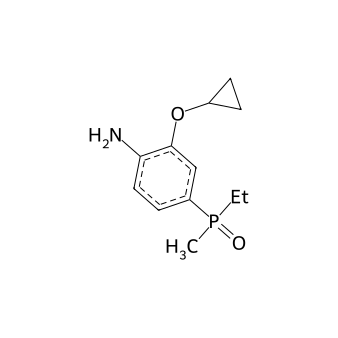 CCP(C)(=O)c1ccc(N)c(OC2CC2)c1